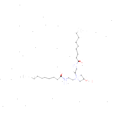 CCCCCCCCCCCCCCCCCC(=O)NCC[N+]1(CCNC(=O)CCCCCCCCCCCCCCCCC)CC(O)C1